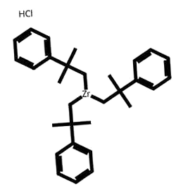 CC(C)([CH2][Zr]([CH2]C(C)(C)c1ccccc1)[CH2]C(C)(C)c1ccccc1)c1ccccc1.Cl